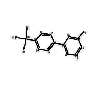 Cc1cncc(-c2ccc(C(F)(F)F)cc2)c1